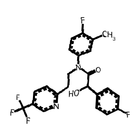 Cc1cc(N(CCc2ccc(C(F)(F)F)cn2)C(=O)C(O)c2ccc(F)cc2)ccc1F